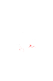 CC=O.CCCCC(C)(O)CC